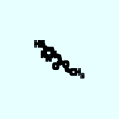 CCOC(=O)Cn1cc(S)nn1